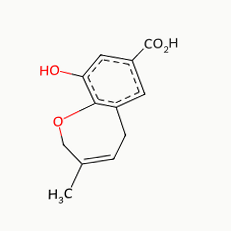 CC1=CCc2cc(C(=O)O)cc(O)c2OC1